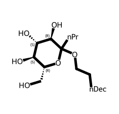 CCCCCCCCCCCCOC1(CCC)O[C@H](CO)[C@@H](O)[C@H](O)[C@H]1O